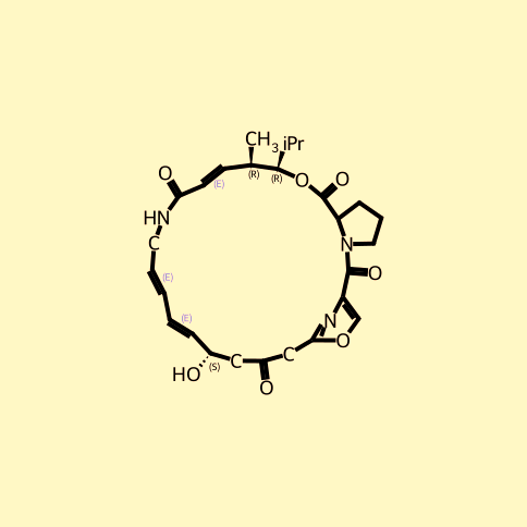 CC(C)[C@H]1OC(=O)C2CCCN2C(=O)c2coc(n2)CC(=O)C[C@H](O)/C=C/C=C/CNC(=O)/C=C/[C@H]1C